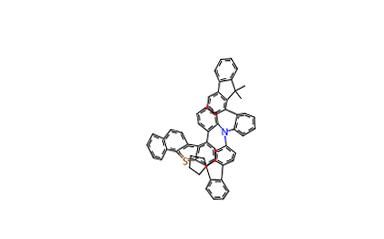 CC1(C)c2ccccc2-c2cccc(-c3ccccc3N(c3ccc4c(c3)C3(CCCC3)c3ccccc3-4)c3ccccc3-c3cccc4sc5c6ccccc6ccc5c34)c21